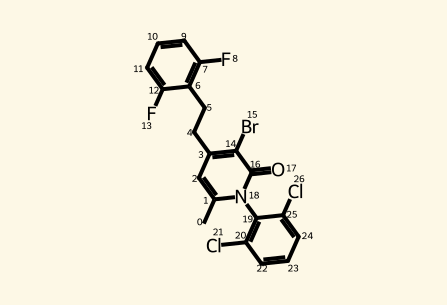 Cc1cc(CCc2c(F)cccc2F)c(Br)c(=O)n1-c1c(Cl)cccc1Cl